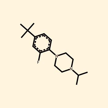 CC(C)N1CCN(c2ccc(C(C)(C)C)cc2F)CC1